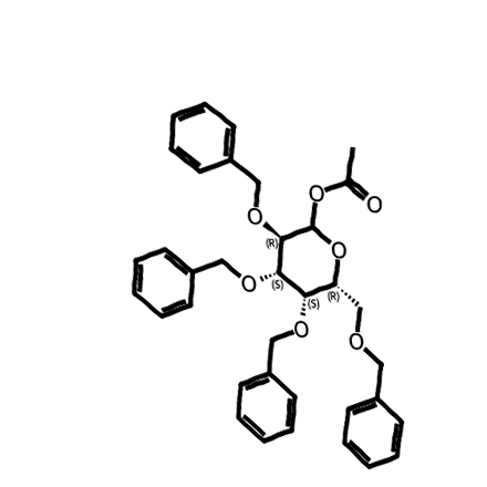 CC(=O)OC1O[C@H](COCc2ccccc2)[C@H](OCc2ccccc2)[C@H](OCc2ccccc2)[C@H]1OCc1ccccc1